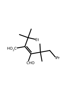 CCC(C)(C)/C(C(=O)O)=C(/C=O)C(C)(C)CC(C)C